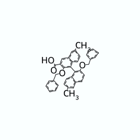 Cc1ccc2c(-c3c(OCc4ccccc4)c(C(=O)O)cc4cc(C)ccc34)c(OCc3ccccc3)ccc2c1